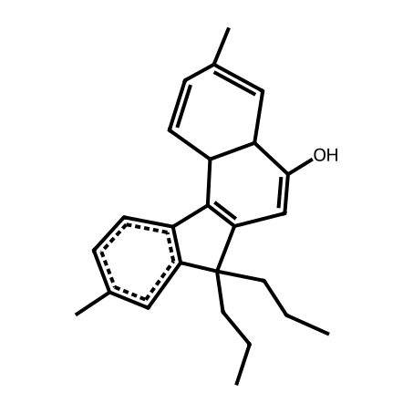 CCCC1(CCC)C2=C(c3ccc(C)cc31)C1C=CC(C)=CC1C(O)=C2